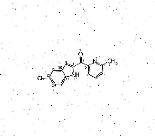 Cc1cccc(C(=O)c2[c]c3cc(Cl)ccc3[nH]2)n1